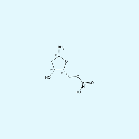 B[C@H]1C[C@@H](O)[C@@H](CO[PH](=O)O)O1